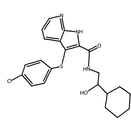 O=C(NCC(O)C1CCCCC1)c1[nH]c2ncccc2c1Sc1ccc(Cl)cc1